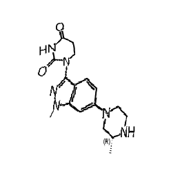 C[C@@H]1CN(c2ccc3c(N4CCC(=O)NC4=O)nn(C)c3c2)CCN1